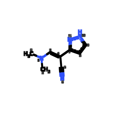 CN(C)C=C(C#N)c1cc[nH]n1